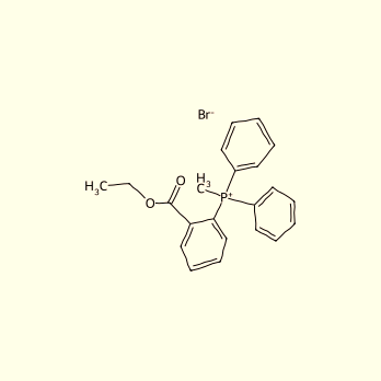 CCOC(=O)c1ccccc1[P+](C)(c1ccccc1)c1ccccc1.[Br-]